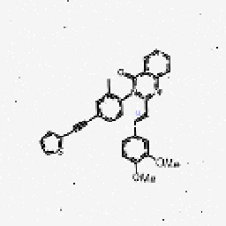 COc1ccc(/C=C/c2nc3ccccc3c(=O)n2-c2ccc(C#Cc3cccs3)cc2C)cc1OC